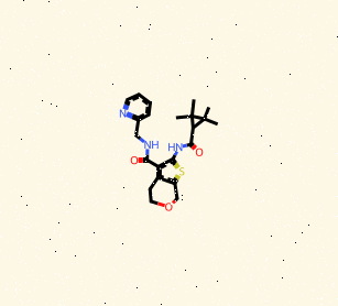 CC1(C)C(C(=O)Nc2sc3c(c2C(=O)NCc2ccccn2)CCOC3)C1(C)C